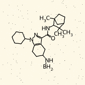 BNC1CCc2c(c(C(=O)NC3C4(C)CCC(C4)C3(C)C)nn2C2CCCCC2)C1